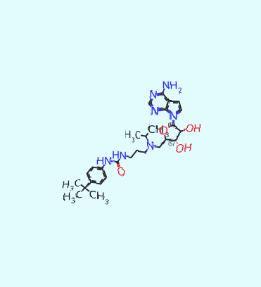 CC(C)N(CCCNC(=O)Nc1ccc(C(C)(C)C)cc1)CC1O[C@@H](n2ccc3c(N)ncnc32)C(O)[C@@H]1O